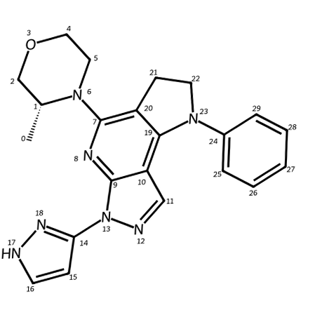 C[C@@H]1COCCN1c1nc2c(cnn2-c2cc[nH]n2)c2c1CCN2c1ccccc1